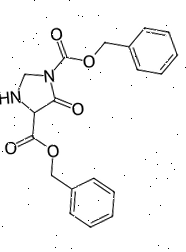 O=C(OCc1ccccc1)C1NCN(C(=O)OCc2ccccc2)C1=O